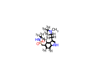 [2H]c1c(CS(=O)(=O)NC([2H])([2H])[2H])c([2H])c2c(C([2H])([2H])C([2H])([2H])N(C)C([2H])([2H])[2H])c[nH]c2c1[2H]